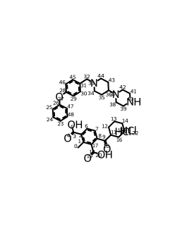 Cc1c(C(=O)O)ccc(C(=O)C2CCCCC2)c1C(=O)O.Cl.Cl.c1ccc(Oc2ccc(CN3CCC(N4CCNCC4)CC3)cc2)cc1